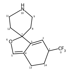 FC(F)(F)C1C=C2C(=COC23CCNCC3)CC1